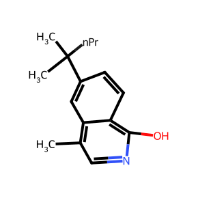 CCCC(C)(C)c1ccc2c(O)ncc(C)c2c1